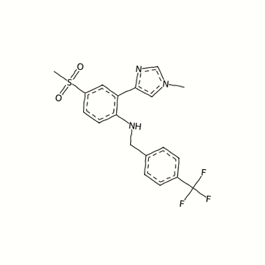 Cn1cnc(-c2cc(S(C)(=O)=O)ccc2NCc2ccc(C(F)(F)F)cc2)c1